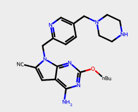 CCCCOc1nc(N)c2cc(C#N)n(Cc3ccc(CN4CCNCC4)cn3)c2n1